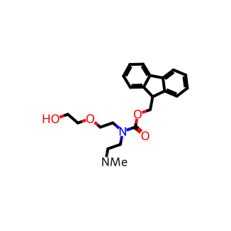 CNCCN(CCOCCO)C(=O)OCC1c2ccccc2-c2ccccc21